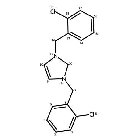 Clc1ccccc1CN1C=CN(Cc2ccccc2Cl)C1